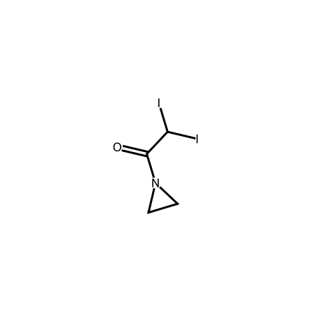 O=C(C(I)I)N1CC1